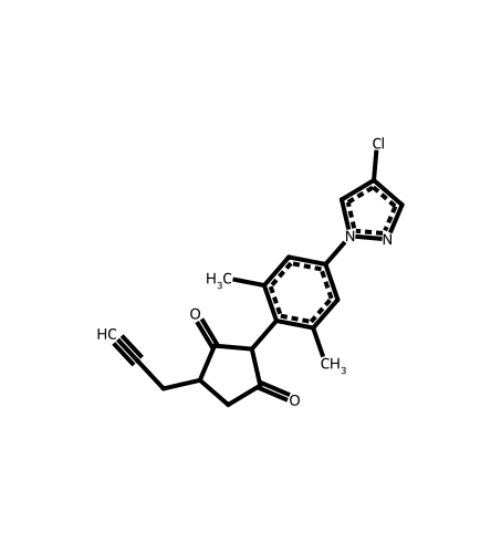 C#CCC1CC(=O)C(c2c(C)cc(-n3cc(Cl)cn3)cc2C)C1=O